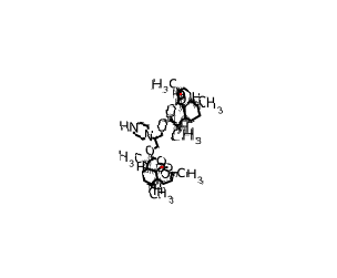 C[C@H]1[C@@H](OCC(CO[C@H]2O[C@@H]3O[C@@]4(C)CC[C@H]5[C@H](C)CC[C@@H]([C@H]2C)[C@@]35OO4)N2CCNCC2)OC2O[C@@]3(C)CC[C@H]4[C@H](C)CC[C@@H]1[C@@]24OO3